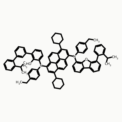 CCc1ccc(N(c2cccc(-c3cccc(-c4ccccc4C(C)C)c3)c2O)c2cc(C3CCCCC3)c3ccc4c(N(c5ccc(CC)cc5)c5cccc6c5oc5c(-c7ccccc7C(C)C)cccc56)cc(C5CCCCC5)c5ccc2c3c54)cc1